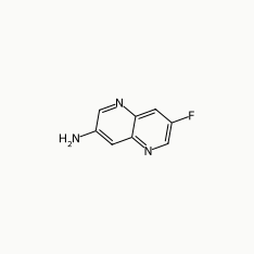 Nc1cnc2cc(F)cnc2c1